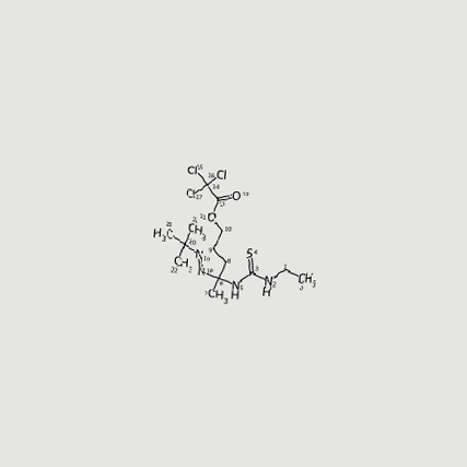 CCNC(=S)NC(C)(CCCOC(=O)C(Cl)(Cl)Cl)/N=N/C(C)(C)C